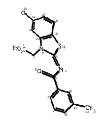 CCOC(=O)Cn1c(=NC(=O)c2cccc(C(F)(F)F)c2)sc2ccc(Cl)cc21